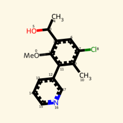 COc1c(C(C)O)cc(Cl)c(C)c1-c1cccnc1